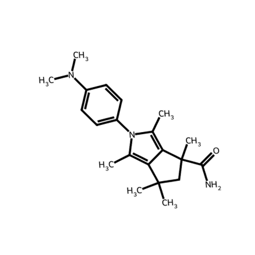 Cc1c2c(c(C)n1-c1ccc(N(C)C)cc1)C(C)(C(N)=O)CC2(C)C